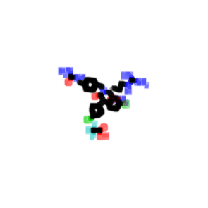 N=C(N)NCCC[C@H](C(N)=O)N(Cc1ccc(CNC(N)=O)cc1)C(=O)C(c1ccc(Cl)cc1)c1ccc(Cl)cc1.O=C(O)C(F)(F)F